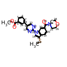 COC(=O)c1cccc(-c2cnc(-n3cc(SC)c4ccc(C(=O)N5CCOCC5)cc43)nc2)c1